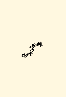 CN1CCN(CCC(=O)N2CC=C(C3Cc4c(Nc5ccc6ncsc6c5)ccnc4N3)CC2)CC1